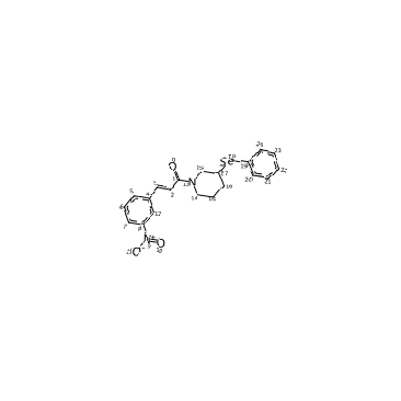 O=C(C=Cc1cccc([N+](=O)[O-])c1)N1CCCC([Se]c2ccccc2)C1